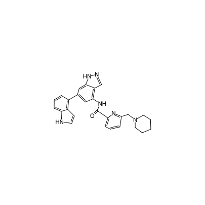 O=C(Nc1cc(-c2cccc3[nH]ccc23)cc2[nH]ncc12)c1cccc(CN2CCCCC2)n1